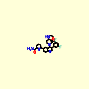 NC(=O)c1cccc(-c2ccc3ncc(-c4cc(F)cc(F)c4)c(N4CCC5NCCO[C@@H]5C4)c3c2)n1